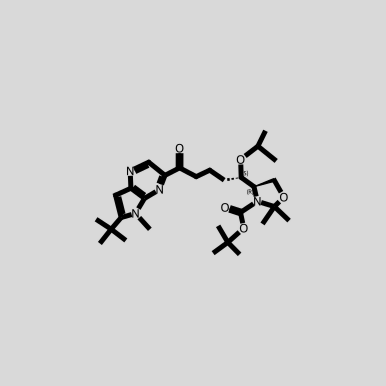 CC(C)O[C@@H](CCCC(=O)c1cnc2cc(C(C)(C)C)n(C)c2n1)[C@H]1COC(C)(C)N1C(=O)OC(C)(C)C